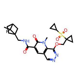 C[C@H]1C2CCC1(CNC(=O)c1cc3cnnc(OCC4(S(=O)(=O)C5CC5)CC4)c3n(C)c1=O)C2